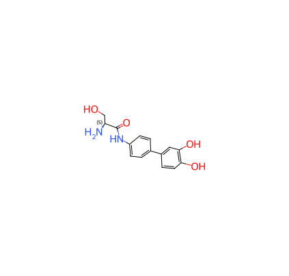 N[C@@H](CO)C(=O)Nc1ccc(-c2ccc(O)c(O)c2)cc1